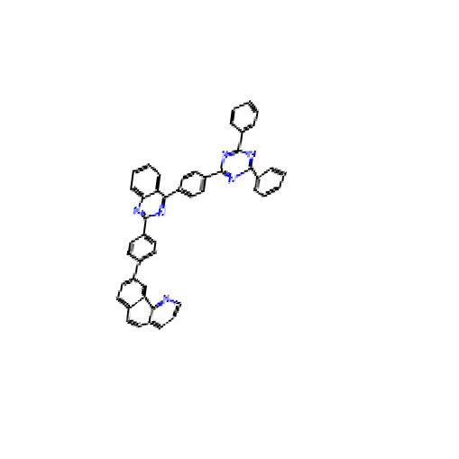 c1ccc(-c2nc(-c3ccccc3)nc(-c3ccc(-c4nc(-c5ccc(-c6ccc7ccc8cccnc8c7c6)cc5)nc5ccccc45)cc3)n2)cc1